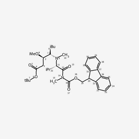 CC[C@H](C)[C@@H]([C@@H](CC(=O)OC(C)(C)C)OC)N(C)[C@H](C(=O)N(C)C(=O)OCC1c2ccccc2-c2ccccc21)C(C)C